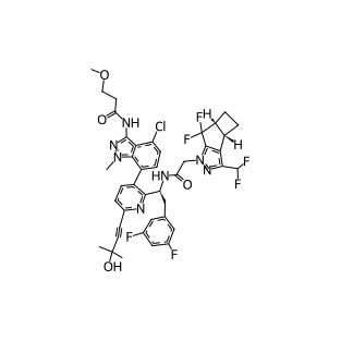 COCCC(=O)Nc1nn(C)c2c(-c3ccc(C#CC(C)(C)O)nc3[C@H](Cc3cc(F)cc(F)c3)NC(=O)Cn3nc(C(F)F)c4c3C(F)(F)[C@@H]3CC[C@H]43)ccc(Cl)c12